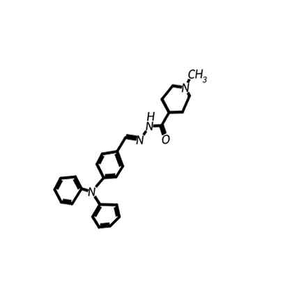 CN1CCC(C(=O)N/N=C/c2ccc(N(c3ccccc3)c3ccccc3)cc2)CC1